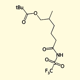 CC(CCCC(=O)NS(=O)(=O)C(F)(F)F)COC(=O)C(C)(C)C